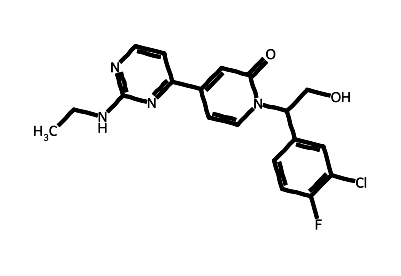 CCNc1nccc(-c2ccn(C(CO)c3ccc(F)c(Cl)c3)c(=O)c2)n1